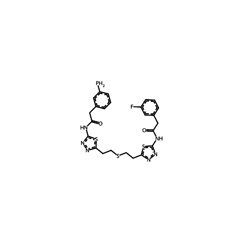 O=C(Cc1cccc(F)c1)Nc1nnc(CCSCCc2nnc(NC(=O)Cc3cccc(P)c3)s2)s1